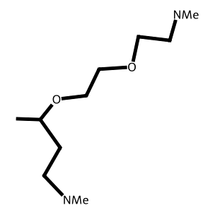 CNCCOCCOC(C)CCNC